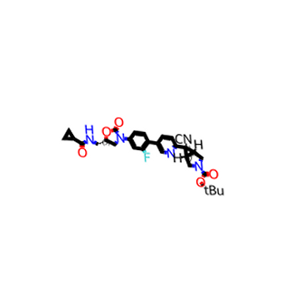 CC(C)(C)OC(=O)N1C[C@@H]2[C@H](C1)[C@@]2(C#N)c1ccc(-c2ccc(N3C[C@H](CNC(=O)C4CC4)OC3=O)cc2F)cn1